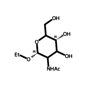 CCO[C@@H]1OC(CO)[C@H](O)C(O)C1NC(C)=O